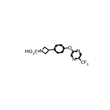 O=C(O)N1CC(c2ccc(Oc3cnc(C(F)(F)F)cn3)cc2)C1